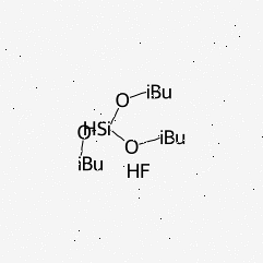 CCC(C)O[SiH](OC(C)CC)OC(C)CC.F